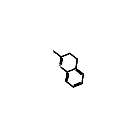 IC1=Nc2ccccc2CC1